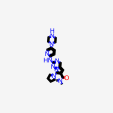 CN(C)C(=O)c1cc2cnc(Nc3ccc(N4CCNCC4)cn3)nn2c1N1CCCC1